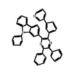 c1ccc(-c2nc(-c3cccc(-c4cccnc4)c3)c(-c3ccc4c5ccccc5n(-c5ccccc5)c4c3)nc2-c2ccccc2)cc1